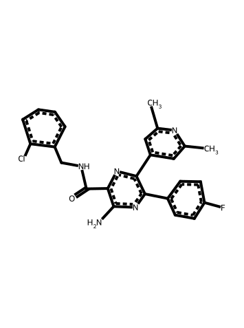 Cc1cc(-c2nc(C(=O)NCc3ccccc3Cl)c(N)nc2-c2ccc(F)cc2)cc(C)n1